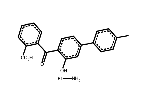 CCN.Cc1ccc(-c2ccc(C(=O)c3ccccc3C(=O)O)c(O)c2)cc1